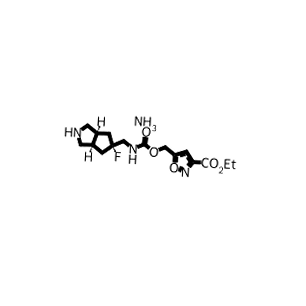 CCOC(=O)c1cc(COC(=O)NC[C@@]2(F)C[C@H]3CNC[C@H]3C2)on1.N